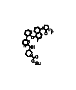 Cc1ccc2c(N3CC[C@H](CF)C3=O)cccc2c1Oc1ncccc1-c1ccnc(N[C@H]2CCCN(C(=O)OC(C)(C)C)C2)n1